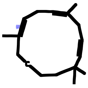 CC1=CC/C=C(/C)CCCCC(C)(C)C=CC1